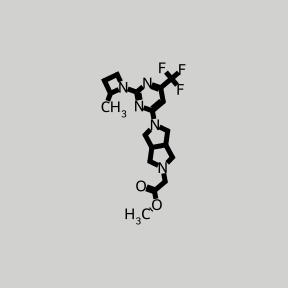 COC(=O)CN1CC2CN(c3cc(C(F)(F)F)nc(N4CCC4C)n3)CC2C1